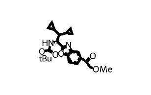 COCC(=O)c1ccc2oc([C@@H](NC(=O)OC(C)(C)C)C(C3CC3)C3CC3)nc2c1